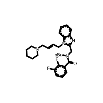 CCCCN(Cc1nc2ccccc2n1CC=CCN1CCCCC1)C(=O)c1cccc(F)c1F